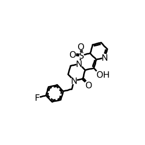 O=C1C2C(O)=C3N=CC=CC3S(=O)(=O)N2CCN1Cc1ccc(F)cc1